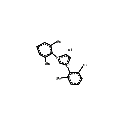 CC(C)(C)c1cccc(C(C)(C)C)c1-n1cc[n+](-c2c(C(C)(C)C)cccc2C(C)(C)C)c1.Cl